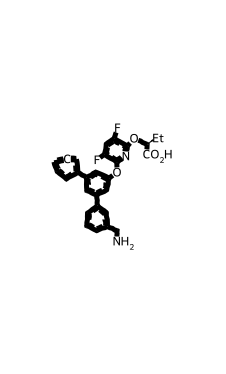 CC[C@@H](Oc1nc(Oc2cc(-c3ccccc3)cc(-c3cccc(CN)c3)c2)c(F)cc1F)C(=O)O